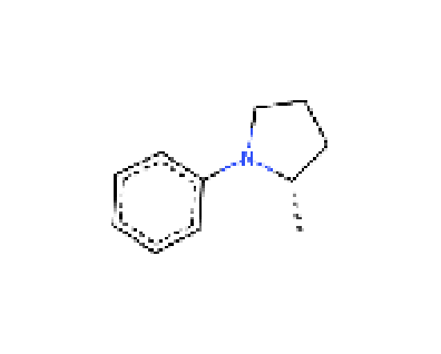 C[C@H]1CCCN1c1ccccc1